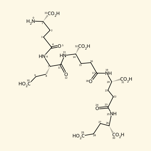 N[C@@H](CCC(=O)N[C@@H](CCC(=O)O)C(=O)N[C@@H](CCC(=O)N[C@@H](CCC(=O)N[C@@H](CCC(=O)O)C(=O)O)C(=O)O)C(=O)O)C(=O)O